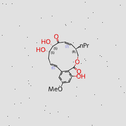 CCC[C@@H]1/C=C\C(=O)[C@@H](O)[C@@H](O)C/C=C/c2cc(OC)cc(O)c2C(=O)OC1